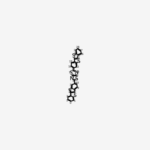 c1ccc2c(c1)sc1c3ccc(-c4nc5sc(-c6ccc7c(c6)sc6c8ccccc8sc76)nc5s4)cc3sc21